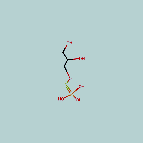 OCC(O)CO[SH]=P(O)(O)O